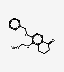 COCOc1c(OCc2ccccc2)ccc2c1CCCC2=O